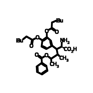 CCC(C)CC(=O)Oc1ccc(C(C(C)C(C)OC(=O)c2ccccc2)[C@H](N)C(=O)O)cc1OC(=O)CC(C)CC